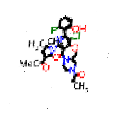 C=CC(=O)N1CCN2C(=O)c3c(N4CC(C(=O)OC)CC4(C)C)nc(-c4c(O)cccc4F)c(Cl)c3OCC2C1